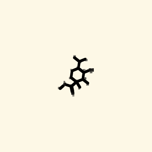 COC(=O)C1(C)CCC(C(C)C)C(O)C1C